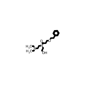 CCN(CC)CCN(CCO)C(=O)CCOCCc1ccccc1